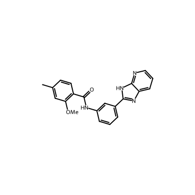 COc1cc(C)ccc1C(=O)Nc1cccc(-c2nc3cccnc3[nH]2)c1